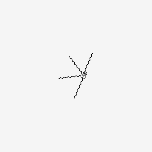 CCCCCCCCCCCC[O][Ti](=[O])([CH2]CCCCCCCCCCC)([CH2]CCCCCCCCCCC)[O]CCCCCCCCCCCC